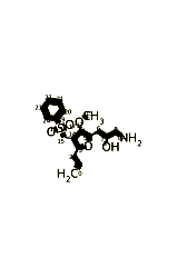 C=CC[C@@H]1O[C@H](C[C@H](O)CN)[C@H](OC)[C@H]1CS(=O)(=O)c1ccccc1